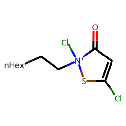 CCCCCCCC[N+]1(Cl)SC(Cl)=CC1=O